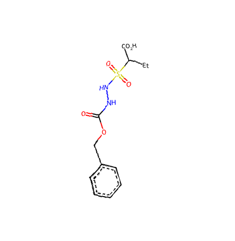 CCC(C(=O)O)S(=O)(=O)NNC(=O)OCc1ccccc1